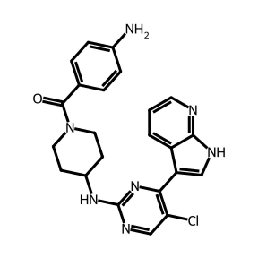 Nc1ccc(C(=O)N2CCC(Nc3ncc(Cl)c(-c4c[nH]c5ncccc45)n3)CC2)cc1